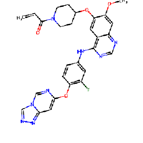 C=CC(=O)N1CCC(Oc2cc3c(Nc4ccc(Oc5cc6nncn6cn5)c(F)c4)ncnc3cc2OC)CC1